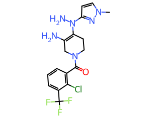 Cn1ccc(N(N)C2=C(N)CN(C(=O)c3cccc(C(F)(F)F)c3Cl)CC2)n1